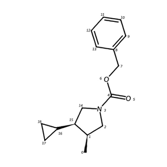 C[C@@H]1CN(C(=O)OCc2ccccc2)C[C@@H]1C1CC1